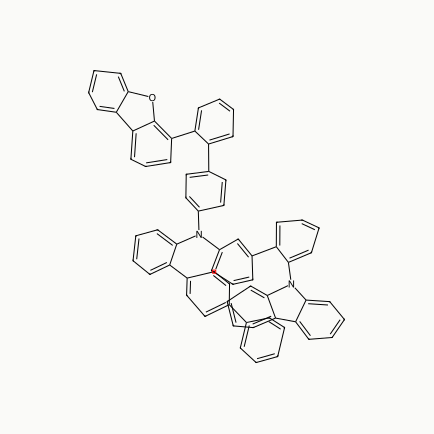 c1ccc(-c2ccc(-c3ccccc3N(c3ccc(-c4ccccc4-c4cccc5c4oc4ccccc45)cc3)c3cccc(-c4ccccc4-n4c5ccccc5c5ccccc54)c3)cc2)cc1